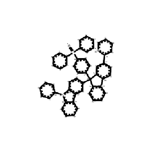 O=P(c1ccccc1)(c1ccccc1)c1ccc(C2(c3ccc4c(c3)c3ccccc3n4-c3ccccc3)c3ccccc3-c3ccc(-c4ccccn4)cc32)cc1